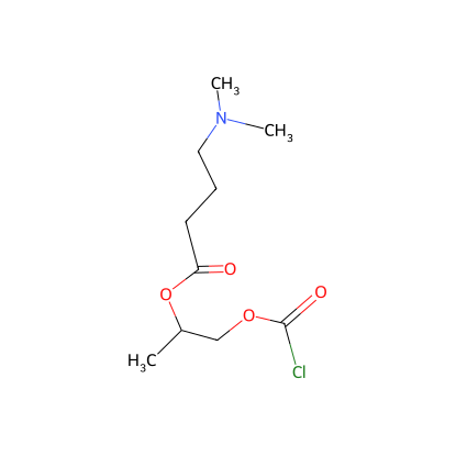 CC(COC(=O)Cl)OC(=O)CCCN(C)C